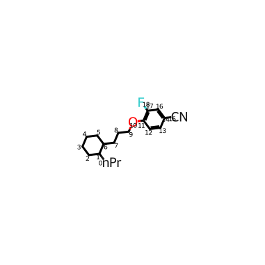 CCCC1CCCCC1CCCOc1ccc(C#N)cc1F